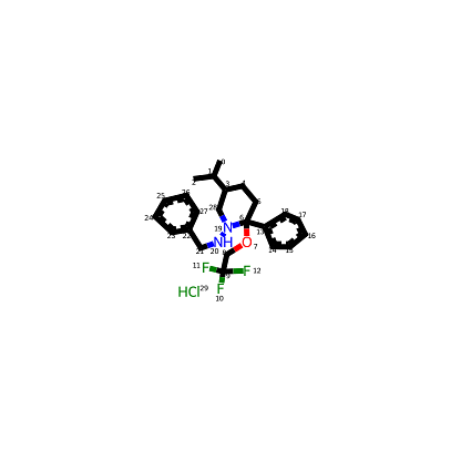 CC(C)C1CCC(OCC(F)(F)F)(c2ccccc2)N(NCc2ccccc2)C1.Cl